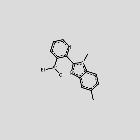 CC[S+]([O-])c1cccnc1-c1nc2cc(C)ccc2n1C